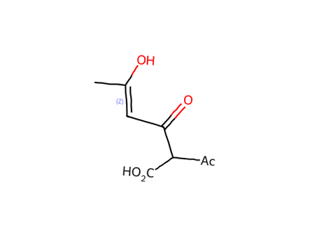 CC(=O)C(C(=O)O)C(=O)/C=C(/C)O